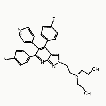 OCCN(CCO)CCn1cc2c(-c3ccc(F)cc3)c(-c3ccncc3)c(-c3ccc(F)cc3)nc2n1